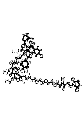 Cc1ccc(C(=O)N(CCCNC(=O)[C@H](C)NC(=O)C(NC(=O)CCOCCOCCOCCOCCNC(=O)CCN2C(=O)C=CC2=O)C(C)C)C(c2nc3cc(Cl)ccc3c(=O)n2Cc2ccccc2)C(C)C)cc1